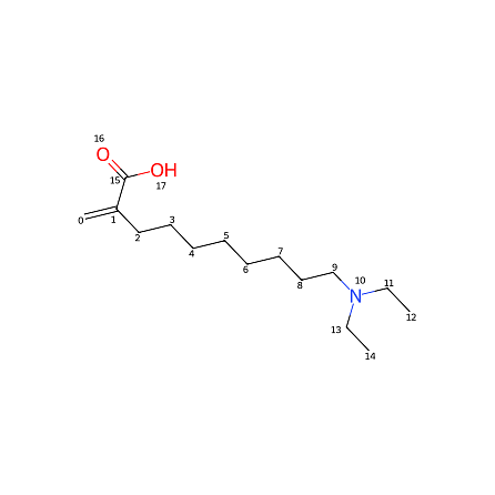 C=C(CCCCCCCCN(CC)CC)C(=O)O